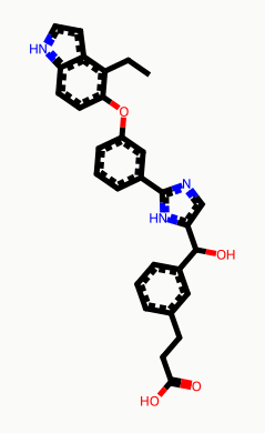 CCc1c(Oc2cccc(-c3ncc(C(O)c4cccc(CCC(=O)O)c4)[nH]3)c2)ccc2[nH]ccc12